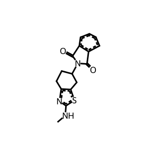 CNc1nc2c(s1)CC(N1C(=O)c3ccccc3C1=O)CC2